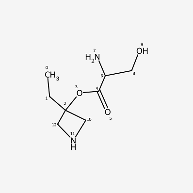 CCC1(OC(=O)C(N)CO)CNC1